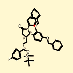 CC(C)(C)[Si](C)(C)O[C@@H](CC[C@H]1CC(=O)N(c2ccccc2)[C@@H]1c1ccc(OCc2ccccc2)cc1OCc1ccccc1)c1ccc(F)cc1